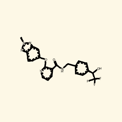 Cn1nc2ccc(Oc3ncccc3C(=O)NCc3ccc(C(O)C(F)(F)F)cc3)cc2n1